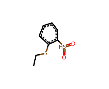 CCSc1ccccc1[SH](=O)=O